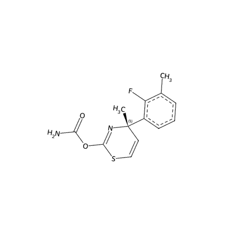 Cc1cccc([C@]2(C)C=CSC(OC(N)=O)=N2)c1F